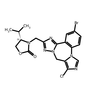 CC(C)[C@H]1COC(=O)N1Cc1nc2n(n1)Cc1c(Cl)ncn1-c1ccc(Br)cc1-2